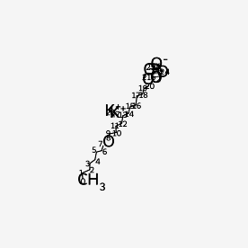 CCCCCCCCOCCCCCCCCCCCCOOP(=O)([O-])[O-].[K+].[K+]